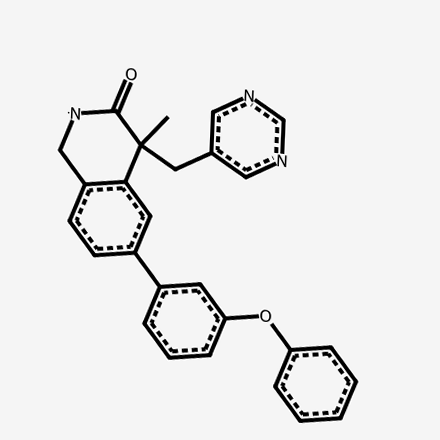 CC1(Cc2cncnc2)C(=O)[N]Cc2ccc(-c3cccc(Oc4ccccc4)c3)cc21